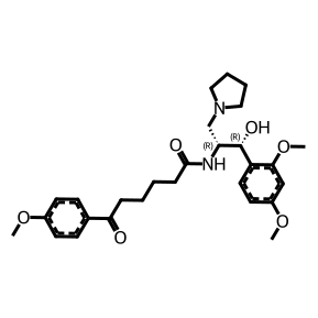 COc1ccc(C(=O)CCCCC(=O)N[C@H](CN2CCCC2)[C@H](O)c2ccc(OC)cc2OC)cc1